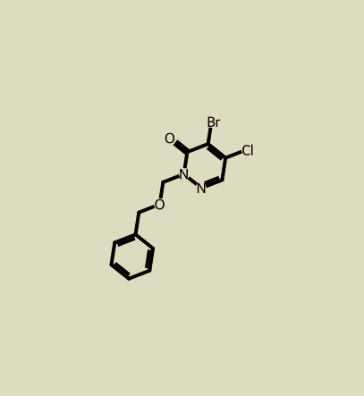 O=c1c(Br)c(Cl)cnn1COCc1ccccc1